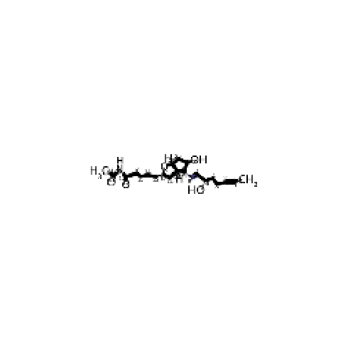 CC#CCC[C@H](O)/C=C/[C@@H]1[C@H]2C[C@@H](CCCCC(=O)NC(C)=O)O[C@H]2C[C@H]1O